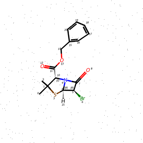 CC1(C)S[C@@H]2[C@H](Br)C(=O)N2[C@H]1C(=O)OCc1ccccc1